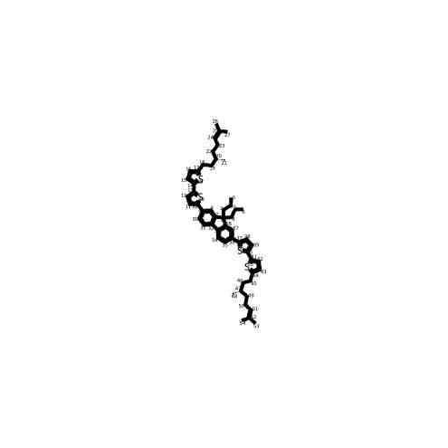 CCCC1(CCC)c2cc(-c3ccc(-c4ccc(CC[C@@H](C)CCC=C(C)C)s4)s3)ccc2-c2ccc(-c3ccc(-c4ccc(CC[C@@H](C)CCC=C(C)C)s4)s3)cc21